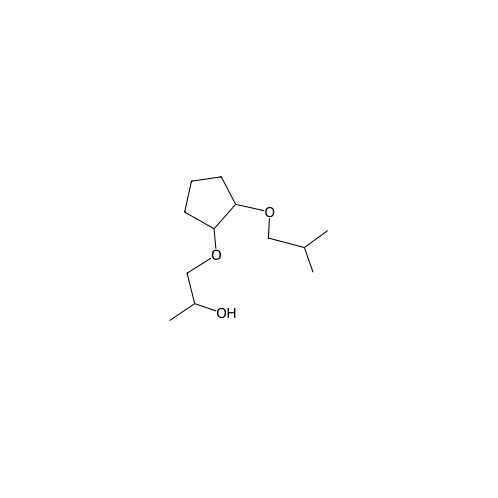 CC(C)COC1CCCC1OCC(C)O